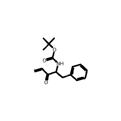 C=CC(=O)C(Cc1ccccc1)NC(=O)OC(C)(C)C